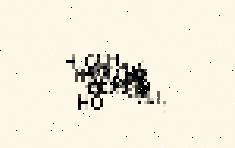 C=C(C)C(=O)Nc1ccc(O)cc1.C=C(C)C(=O)O.C=CC#N.C=CC(=O)OCC